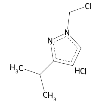 CC(C)c1ccn(CCl)n1.Cl